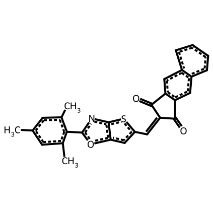 Cc1cc(C)c(-c2nc3sc(C=C4C(=O)c5cc6ccccc6cc5C4=O)cc3o2)c(C)c1